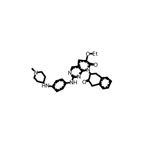 CCOc1cc2cnc(Nc3ccc(NC4CCN(C)CC4)cc3)nc2n(C2Cc3ccccc3CC2=O)c1=O